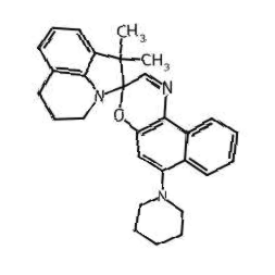 CC1(C)c2cccc3c2N(CCC3)C12C=Nc1c(cc(N3CCCCC3)c3ccccc13)O2